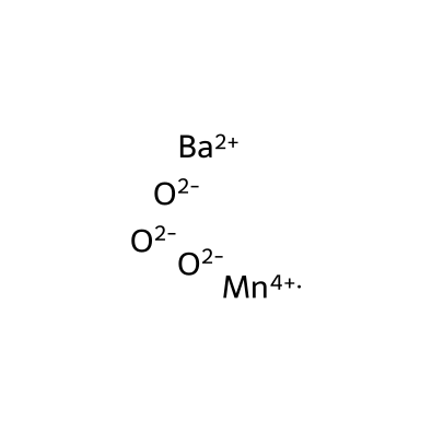 [Ba+2].[Mn+4].[O-2].[O-2].[O-2]